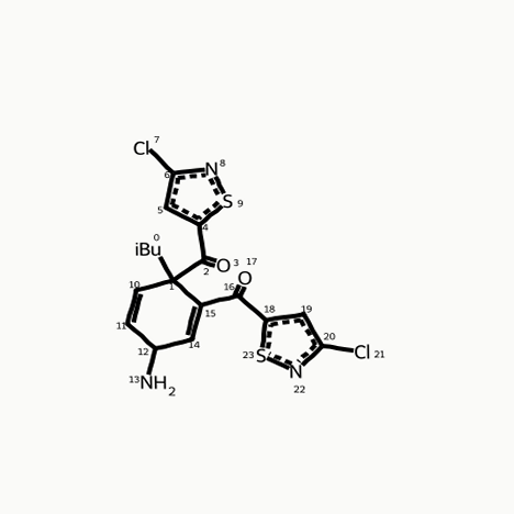 CCC(C)C1(C(=O)c2cc(Cl)ns2)C=CC(N)C=C1C(=O)c1cc(Cl)ns1